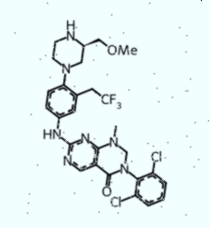 COC[C@H]1CN(c2ccc(Nc3ncc4c(n3)N(C)CN(c3c(Cl)cccc3Cl)C4=O)cc2CC(F)(F)F)CCN1